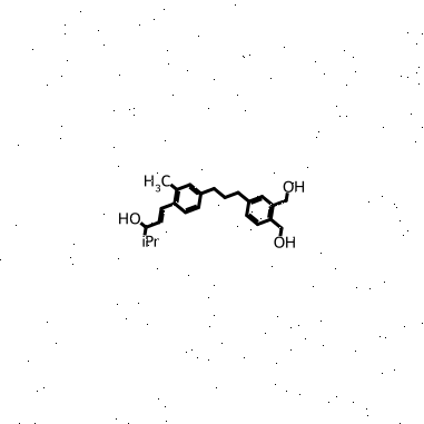 Cc1cc(CCCc2ccc(CO)c(CO)c2)ccc1C=CC(O)C(C)C